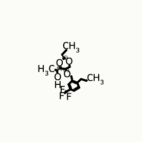 CCCc1ccc(C(F)(F)F)cc1CO[C@@H]1CO[C@H](CCC)O[C@@H]1C(C)O